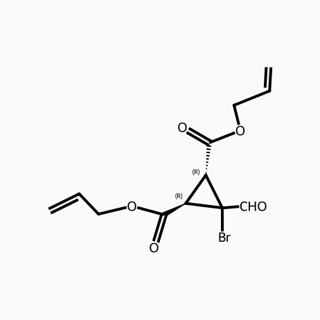 C=CCOC(=O)[C@H]1[C@H](C(=O)OCC=C)C1(Br)C=O